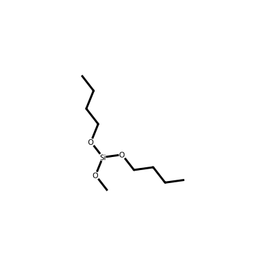 CCCCO[Si](OC)OCCCC